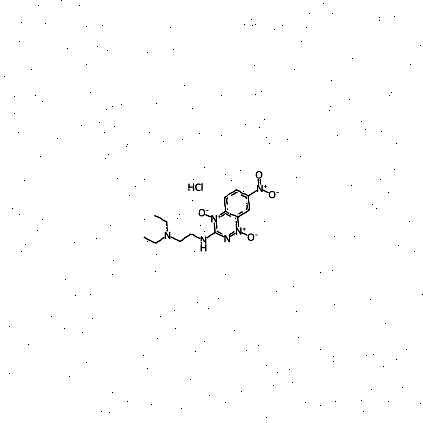 CCN(CC)CCNc1n[n+]([O-])c2cc([N+](=O)[O-])ccc2[n+]1[O-].Cl